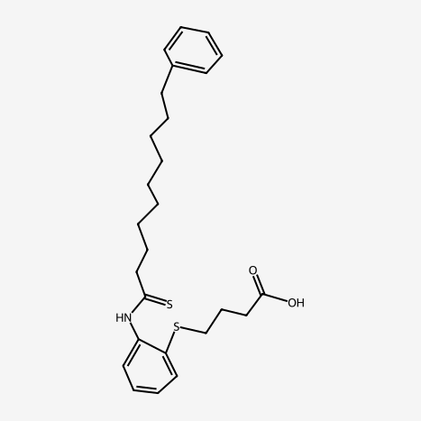 O=C(O)CCCSc1ccccc1NC(=S)CCCCCCCCCc1ccccc1